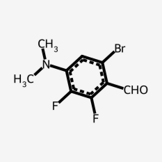 CN(C)c1cc(Br)c(C=O)c(F)c1F